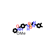 COc1ccccc1NC(=O)c1ccc(CNS(=O)(=O)c2cn(C)c(-c3ccc(C)c(C)c3)n2)cc1